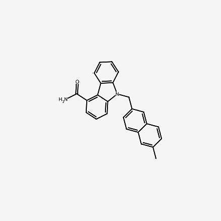 Cc1ccc2cc(Cn3c4ccc[c]c4c4c(C(N)=O)cccc43)ccc2c1